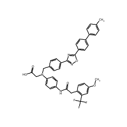 COc1ccc(CC(=O)Nc2ccc(N(CC(=O)O)Cc3ccc(-c4noc(-c5ccc(-c6ccc(C)cc6)cc5)n4)cc3)cc2)c(C(F)(F)F)c1